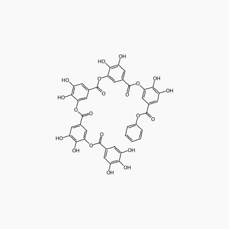 O=C(Oc1ccccc1)c1cc(O)c(O)c(OC(=O)c2cc(O)c(O)c(OC(=O)c3cc(O)c(O)c(OC(=O)c4cc(O)c(O)c(OC(=O)c5cc(O)c(O)c(O)c5)c4)c3)c2)c1